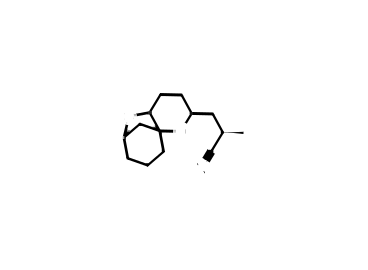 C[C@@H](C#N)CC1CCC2OC3CCCC2(C3)O1